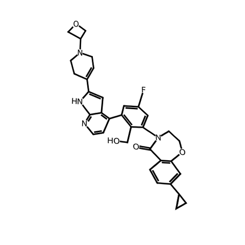 O=C1c2ccc(C3CC3)cc2OCCN1c1cc(F)cc(-c2ccnc3[nH]c(C4=CCN(C5COC5)CC4)cc23)c1CO